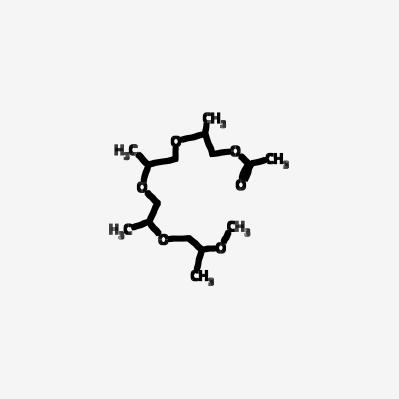 COC(C)COC(C)COC(C)COC(C)COC(C)=O